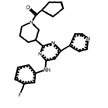 O=C(C1CCCC1)N1CCCC(c2nc(Nc3cccc(F)c3)cc(-c3ccncc3)n2)C1